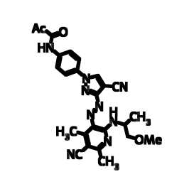 COCC(C)Nc1nc(C)c(C#N)c(C)c1N=Nc1nn(-c2ccc(NC(=O)C(C)=O)cc2)cc1C#N